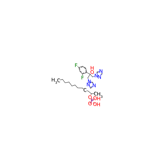 CCCCCCCCCCC(C)OP(=O)(O)O.OC(Cn1cncn1)(Cn1cncn1)c1ccc(F)cc1F